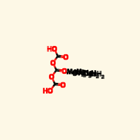 O=C(O)OC(=O)OC(=O)O.[AlH3].[AlH3].[CaH2].[CaH2].[MgH2]